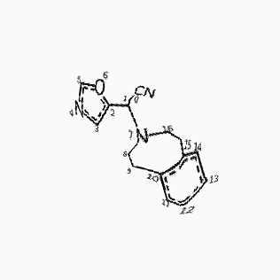 N#CC(c1cnco1)N1CCc2ccccc2C1